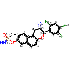 CS(=N)(=O)Oc1ccc2c3c(ccc2c1)O[C@H](c1cc(F)c(F)cc1F)[C@@H](N)C3